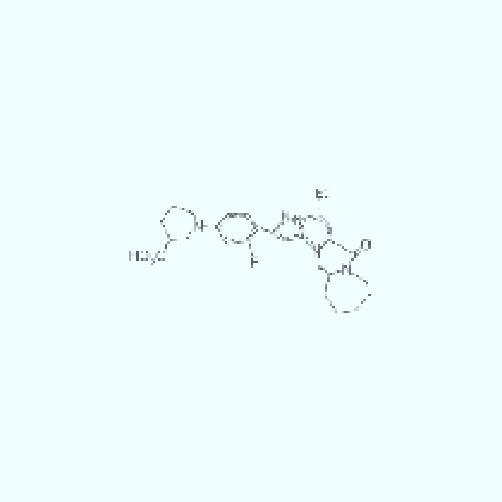 CCc1cc(C(=O)N2CCCCC[C@H]2C)nc2cc(-c3ccc(N4CCC[C@H](C(=O)O)C4)cc3F)nn12